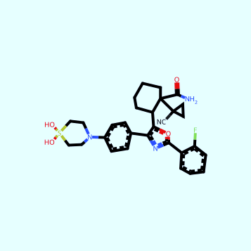 N#CC1(C2(C(N)=O)CCCCC2c2oc(-c3ccccc3F)nc2-c2ccc(N3CCS(O)(O)CC3)cc2)CC1